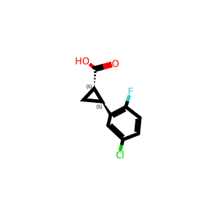 O=C(O)[C@H]1C[C@@H]1c1cc(Cl)ccc1F